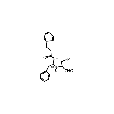 CC(C)CC(C=O)N(F)[C@@H](Cc1ccccc1)NC(=O)CCc1ccccc1